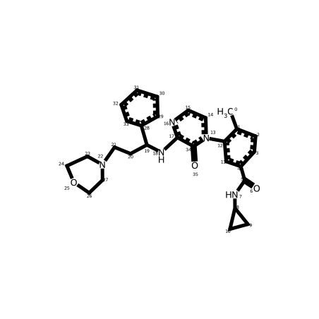 Cc1ccc(C(=O)NC2CC2)cc1-n1ccnc(NC(CCN2CCOCC2)c2ccccc2)c1=O